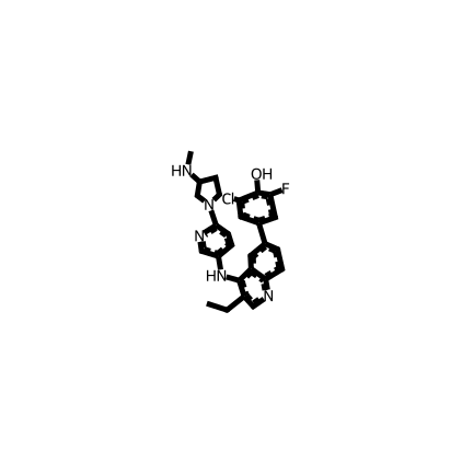 CCc1cnc2ccc(-c3cc(F)c(O)c(Cl)c3)cc2c1Nc1ccc(N2CCC(NC)C2)nc1